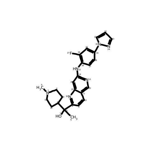 CN1CCC(C(C)(O)c2ccc3cnc(Nc4ccc(-n5cccn5)cc4F)cc3n2)CC1